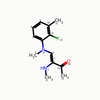 CN/C(=C\N(C)c1cccc(C)c1F)C(C)=O